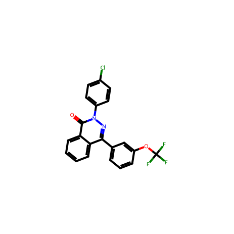 O=c1c2ccccc2c(-c2cccc(OC(F)(F)F)c2)nn1-c1ccc(Cl)cc1